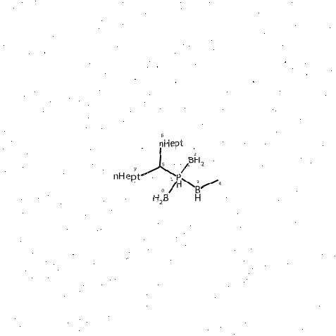 B[PH](B)(BC)C(CCCCCCC)CCCCCCC